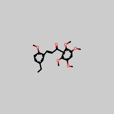 CCc1ccc(OC)c(C=CC(=O)c2c(OC)c(OC)cc(OC)c2OC)c1